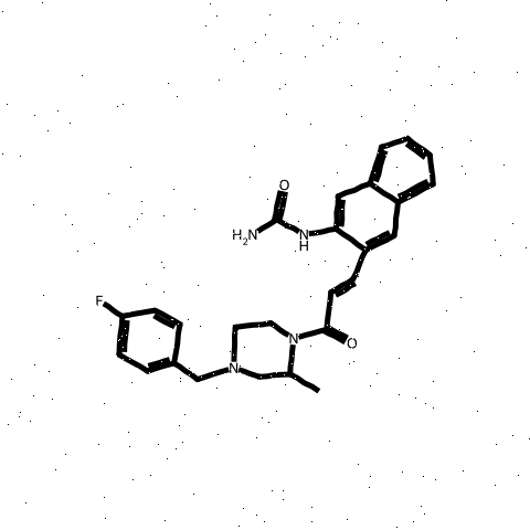 CC1CN(Cc2ccc(F)cc2)CCN1C(=O)C=Cc1cc2ccccc2cc1NC(N)=O